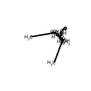 CCC=CCC=CCC=CCC=CCC=CCC=CCCC(=O)N[C@@H](C)C(=O)Oc1ccc2c(C(=O)c3ccc(OCCC4CCCCN4)cc3)c(-c3ccc([C@](C)(NC(=O)CCC=CCC=CCC=CCC=CCC=CCC=CCC)C(=O)O)cc3)sc2c1